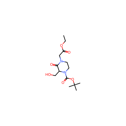 CCOC(=O)CN1CCN(C(=O)OC(C)(C)C)C(CO)C1=O